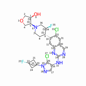 O[C@@H]1COC[C@@H]1N1CC[C@@H](c2cc3nc(Nc4cnn(C56CC(F)(C5)C6)c4Cl)ncc3cc2Cl)[C@H](F)C1